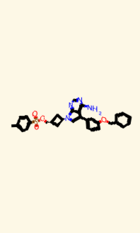 Cc1ccc(S(=O)(=O)OC[C@H]2C[C@@H](n3cc(-c4cccc(OCc5ccccc5)c4)c4c(N)ncnc43)C2)cc1